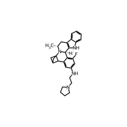 C[C@@H]1Cc2c([nH]c3ccccc23)[C@H]2c3c(F)cc(NCCN4CCCC4)cc3C3C4CC3(C4)N21